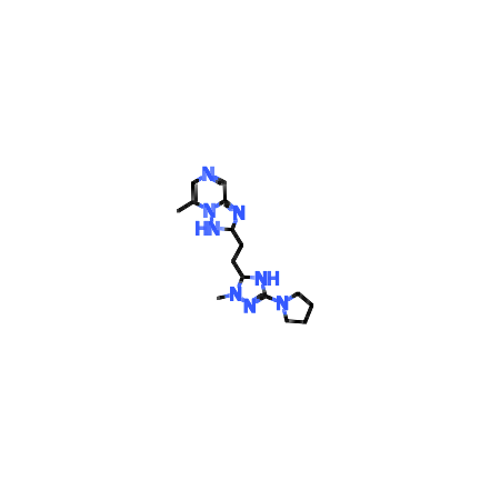 CC1=CN=CC2=NC(CCC3NC(N4CCCC4)=NN3C)NN12